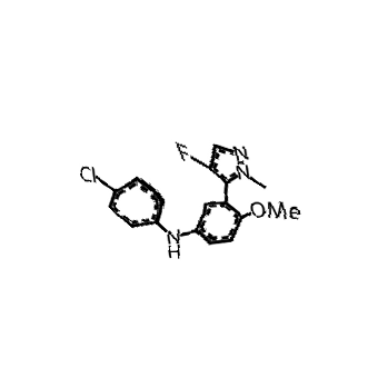 COc1ccc(Nc2ccc(Cl)cc2)cc1-c1c(F)cnn1C